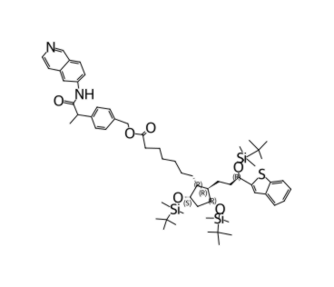 CC(C(=O)Nc1ccc2cnccc2c1)c1ccc(COC(=O)CCCCCC[C@@H]2[C@@H](CC[C@@H](O[Si](C)(C)C(C)(C)C)c3cc4ccccc4s3)[C@H](O[Si](C)(C)C(C)(C)C)C[C@@H]2O[Si](C)(C)C(C)(C)C)cc1